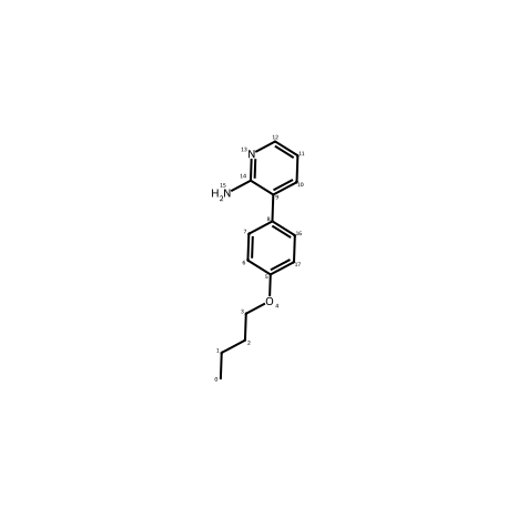 CCCCOc1ccc(-c2cccnc2N)cc1